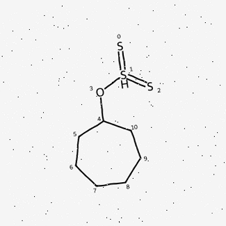 S=[SH](=S)OC1CCCCCC1